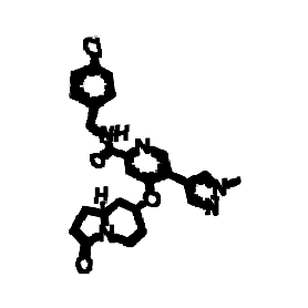 Cn1cc(-c2cnc(C(=O)NCc3ccc(Cl)cc3)cc2O[C@H]2CCN3C(=O)CC[C@H]3C2)cn1